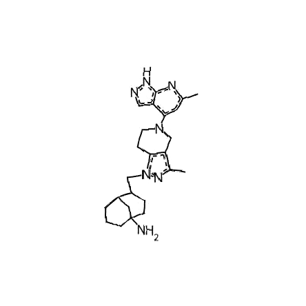 Cc1cc(N2CCc3c(c(C)nn3CC3CCC4(N)CCCC3C4)C2)c2cn[nH]c2n1